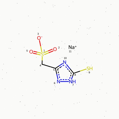 O=S(=O)([O-])Cc1n[nH]c(S)n1.[Na+]